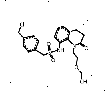 CCOCCN1C(=O)CCc2cccc(NS(=O)(=O)Cc3ccc(CCl)cc3)c21